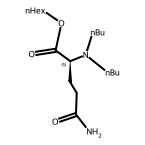 CCCCCCOC(=O)[C@H](CCC(N)=O)N(CCCC)CCCC